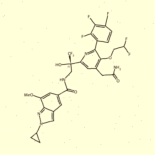 COc1cc(C(=O)NC[C@](O)(c2cc(CC(N)=O)c(OCC(F)F)c(-c3ccc(F)c(F)c3F)n2)C(F)(F)F)cc2cn(C3CC3)nc12